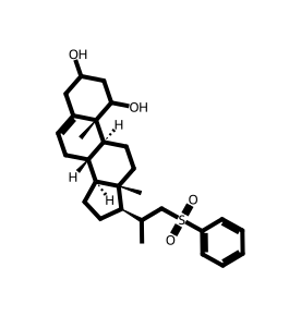 CC(CS(=O)(=O)c1ccccc1)[C@H]1CC[C@H]2[C@@H]3CC=C4CC(O)CC(O)[C@]4(C)[C@H]3CC[C@]12C